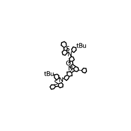 CC(C)(C)c1ccc(N(c2ccc3cc4c5cc(-c6ccccc6)cc6c7c8ccc(N(c9ccc(C(C)(C)C)cc9)c9cccc%10c9sc9ccccc9%10)cc8oc7n(c4cc3c2)c56)c2cccc3c2sc2ccccc23)cc1